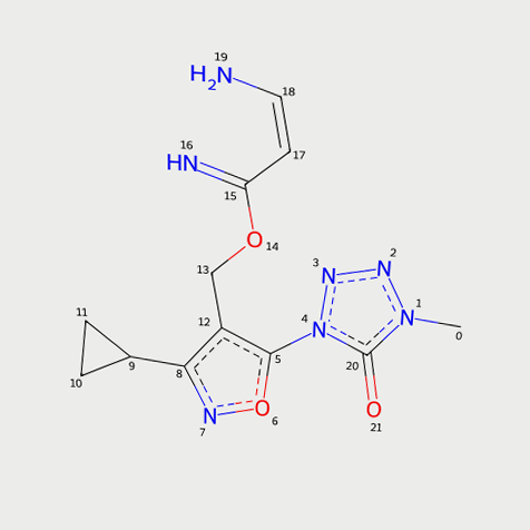 Cn1nnn(-c2onc(C3CC3)c2COC(=N)/C=C\N)c1=O